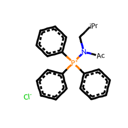 CC(=O)N(CC(C)C)[P+](c1ccccc1)(c1ccccc1)c1ccccc1.[Cl-]